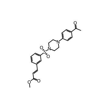 COC(=O)C=Cc1cccc(S(=O)(=O)N2CCN(c3ccc(C(C)=O)cc3)CC2)c1